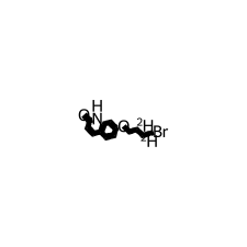 [2H]C([2H])(Br)CCCOc1ccc2ccc(=O)[nH]c2c1